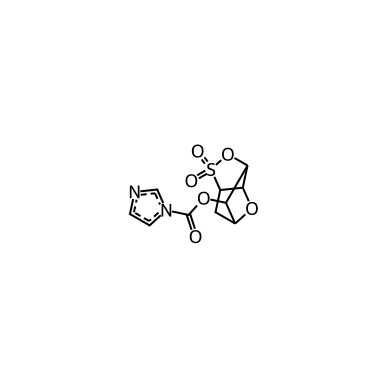 O=C(OC1C2CC3C(O2)C1OS3(=O)=O)n1ccnc1